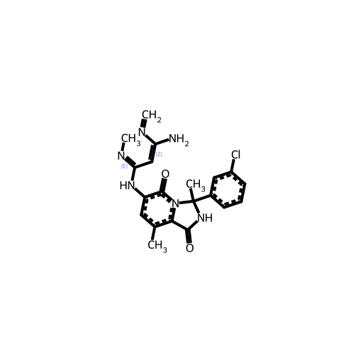 C=N/C(N)=C\C(=N/C)Nc1cc(C)c2n(c1=O)C(C)(c1cccc(Cl)c1)NC2=O